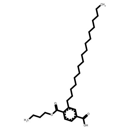 CCCCCCCCCCCCCCCCCCc1cc(C(=O)O)ccc1C(=O)OCCCC